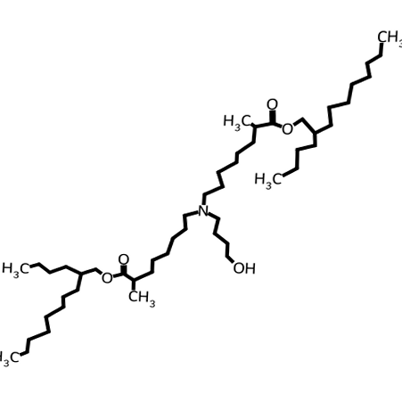 CCCCCCCCC(CCCC)COC(=O)C(C)CCCCCCN(CCCCO)CCCCCCC(C)C(=O)OCC(CCCC)CCCCCCCC